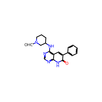 O=CN1CCCC(Nc2ncnc3[nH]c(=O)c(-c4ccccc4)cc23)C1